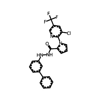 O=C(NNc1cccc(-c2ccccc2)c1)c1cccn1-c1ncc(C(F)(F)F)cc1Cl